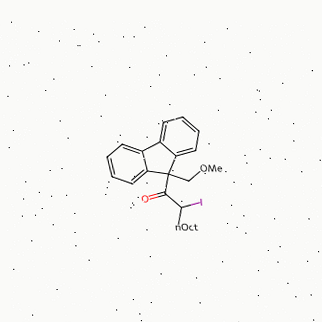 CCCCCCCCC(I)C(=O)C1(COC)c2ccccc2-c2ccccc21